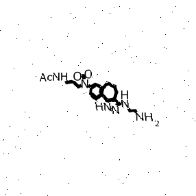 CC(=O)NCC1CN(c2ccc3c(c2)CCCc2c(NCCN)n[nH]c2-3)C(=O)O1